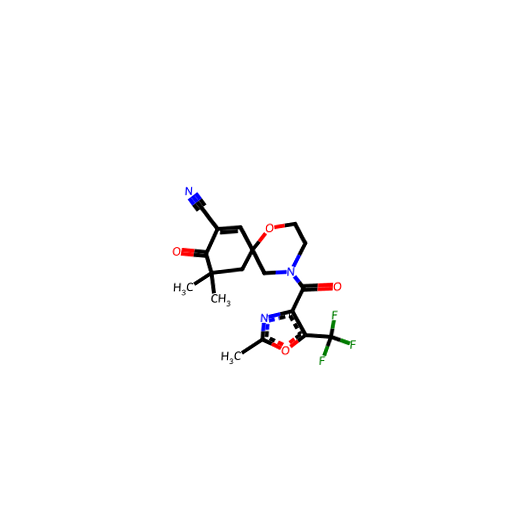 Cc1nc(C(=O)N2CCOC3(C=C(C#N)C(=O)C(C)(C)C3)C2)c(C(F)(F)F)o1